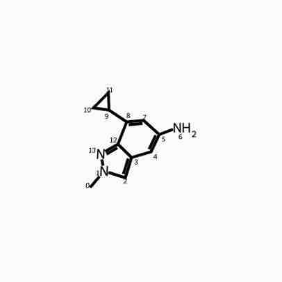 Cn1cc2cc(N)cc(C3CC3)c2n1